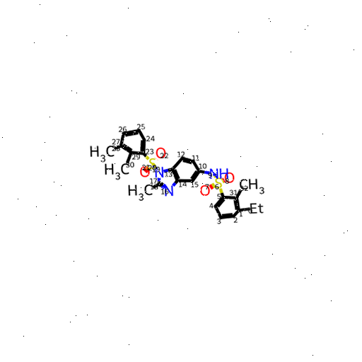 CCc1cccc(S(=O)(=O)Nc2ccc3c(c2)nc(C)n3S(=O)(=O)c2cccc(C)c2C)c1C